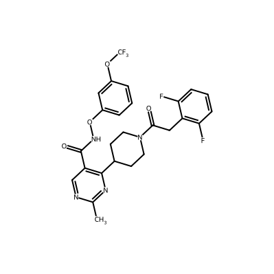 Cc1ncc(C(=O)NOc2cccc(OC(F)(F)F)c2)c(C2CCN(C(=O)Cc3c(F)cccc3F)CC2)n1